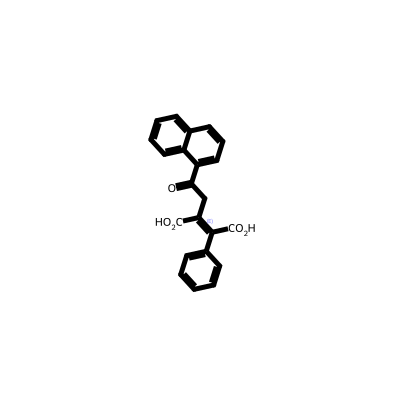 O=C(O)/C(CC(=O)c1cccc2ccccc12)=C(/C(=O)O)c1ccccc1